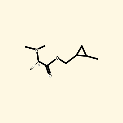 CC1CC1COC(=O)[C@H](C)N(C)C